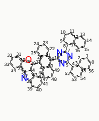 c1ccc2c(-c3nc(-c4cccc5ccccc45)nc(-c4c5ccccc5c(-c5oc6ccccc6c6nc7ccccc7c5-6)c5ccccc45)n3)cccc2c1